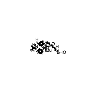 Cc1cnc(Nc2ccc(N3CCN(C(=O)CCCNC=O)CC3)cc2)nc1Nc1cccc(SNC(C)(C)C)c1